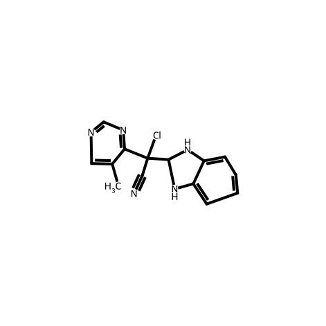 Cc1cncnc1C(Cl)(C#N)C1Nc2ccccc2N1